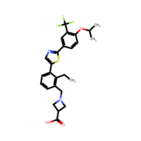 CCc1c(CN2CC(C(=O)O)C2)cccc1-c1cnc(-c2ccc(OC(C)C)c(C(F)(F)F)c2)s1